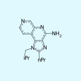 CCCc1nc2c(N)nc3cnccc3c2n1CC(C)C